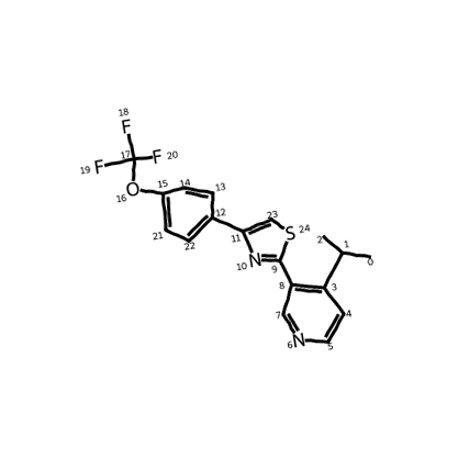 CC(C)c1ccncc1-c1nc(-c2ccc(OC(F)(F)F)cc2)cs1